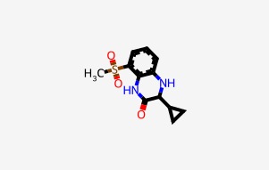 CS(=O)(=O)c1cccc2c1NC(=O)C(C1CC1)N2